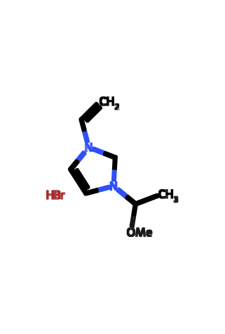 Br.C=CN1C=CN(C(C)OC)C1